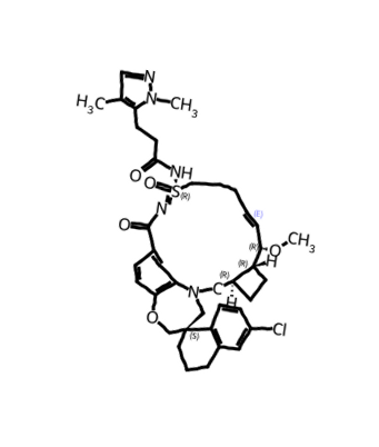 CO[C@H]1/C=C/CCC[S@@](=O)(NC(=O)CCc2c(C)cnn2C)=NC(=O)c2ccc3c(c2)N(C[C@@H]2CC[C@H]21)C[C@@]1(CCCc2cc(Cl)ccc21)CO3